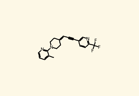 Cc1cccnc1N1CCC(=CC#Cc2ccc(C(F)(F)F)nc2)CC1